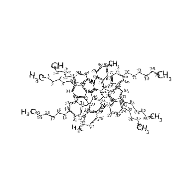 CCCCCCc1ccc(C2(c3ccc(CCCCCC)cc3)c3cc(C)ccc3N(c3ccc(CCCC)cc3)c3cc4c(cc32)N(c2ccc(CCCC)cc2)c2ccc(C)cc2C4(c2ccc(CCCCCC)cc2)c2ccc(CCCCCC)cc2)cc1